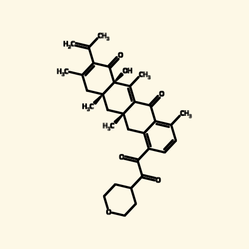 C=C(C)C1=C(C)C[C@@]2(C)C[C@@]3(C)Cc4c(C(=O)C(=O)C5CCOCC5)ccc(C)c4C(=O)C3=C(C)[C@@]2(O)C1=O